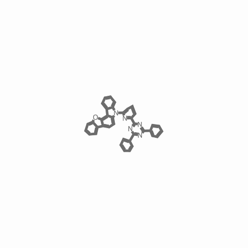 c1ccc(-c2nc(-c3ccccc3)nc(-c3cccc(-n4c5ccccc5c5c6oc7ccccc7c6ccc54)n3)n2)cc1